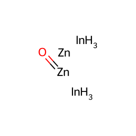 [InH3].[InH3].[O]=[Zn].[Zn]